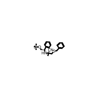 C[C@@](C#N)(CSCc1ccccc1)N[C@@H](CO[Si](C)(C)C)c1ccccc1